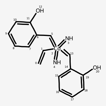 C=[CH][Co](=[NH])(=[NH])(=[CH]c1ccccc1O)=[CH]c1ccccc1O